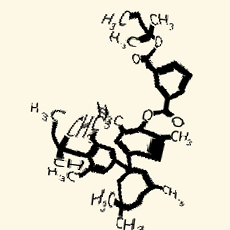 CCC(C)(C)OC(=O)c1cccc(C(=O)Oc2c(C)cc(C3(c4cc(C)c(C(C)(C)CC)c(C)c4)CC(C)CC(C)(C)C3)cc2C)c1